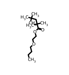 CCCCOCCOC(=O)C(C)(C)CC(C)(C)C